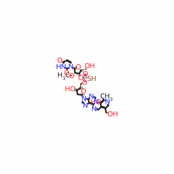 COC1[C@@H](OP(=O)(S)OC[C@H]2O[C@@H](n3cnc4c(/N=C\c5c(CO)cnc(C)c5O)ncnc43)C[C@H]2O)[C@@H](CO)O[C@H]1n1ccc(=O)[nH]c1=O